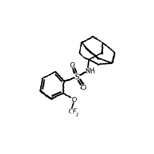 O=S(=O)(NC12CC3CC(CC(C3)C1)C2)c1ccccc1OC(F)(F)F